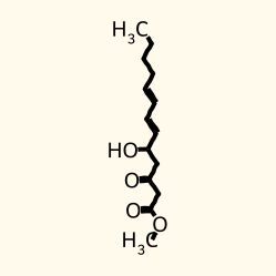 CCCCC=CC=CC(O)CC(=O)CC(=O)OC